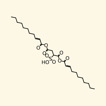 CCCCCCCCC=CC(=O)OC(=O)CC(C(=O)OC(=O)C=CCCCCCCCC)S(=O)(=O)O